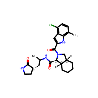 N#CC(C[C@@H]1CCNC1=O)NC(=O)[C@@H]1[C@H]2CCCC[C@H]2CN1C(=O)c1cc2c(Cl)ccc(C(F)(F)F)c2[nH]1